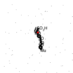 CCC(C)c1ccc(OS(=O)(=O)CCOC(=O)c2ccc(OS(=O)(=O)C(F)(F)C(F)(F)C(F)(F)S(=O)(=O)O)cc2)cc1